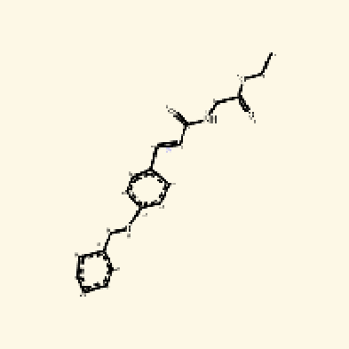 CCOC(=O)CNC(=O)/C=C/c1ccc(OCc2ccccc2)cc1